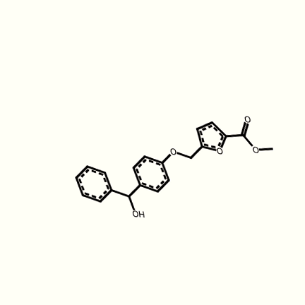 COC(=O)c1ccc(COc2ccc(C(O)c3ccccc3)cc2)o1